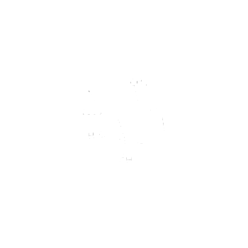 CC1=CCCC(C)(C)C1C1CC1